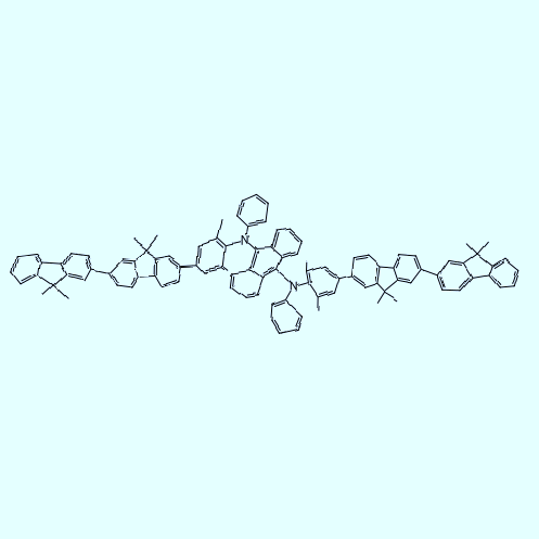 Cc1cc(-c2ccc3c(c2)C(C)(C)c2cc(-c4ccc5c(c4)C(C)(C)c4ccccc4-5)ccc2-3)cc(C)c1N(c1ccccc1)c1c2ccccc2c(N(c2ccccc2)c2c(C)cc(-c3ccc4c(c3)C(C)(C)c3cc(-c5ccc6c(c5)C(C)(C)c5ccccc5-6)ccc3-4)cc2C)c2ccccc12